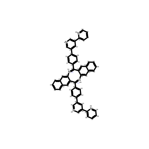 c1ccc(-c2cncc(-c3ccc(/C4=N/c5cc6ccccc6cc5/C(c5ccc(-c6cncc(-c7ccccn7)c6)cc5)=N\c5cc6ccccc6cc54)cc3)c2)nc1